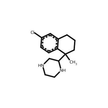 CC1(C2CNCCN2)CCCc2cc(Cl)ccc21